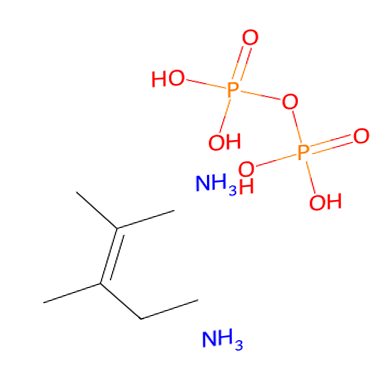 CCC(C)=C(C)C.N.N.O=P(O)(O)OP(=O)(O)O